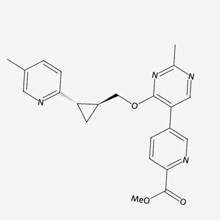 COC(=O)c1ccc(-c2cnc(C)nc2OC[C@H]2C[C@@H]2c2ccc(C)cn2)cn1